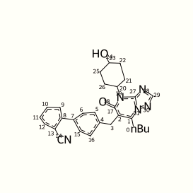 CCCCc1c(Cc2ccc(-c3ccccc3C#N)cc2)c(=O)n(C2CCC(O)CC2)c2ncnn12